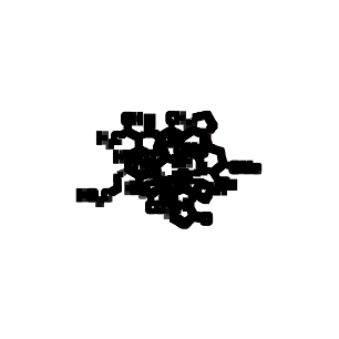 CC[C@H](C)[C@@H]([C@@H](CC(=O)N1CCC[C@H]1[C@H](OC)[C@@H](C)C(=O)N[C@H](C(=O)N[C@@H](CCC(=O)O)C(=O)N[C@@H](CNC(=O)C1(N2C(=O)C=CC2=O)CNC1)C(=O)O)[C@@H](C)O)OC)N(C)C(=O)[C@@H](NC(=O)[C@H](C(C)C)N(C)C)C(C)C